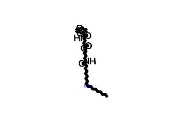 CCCCCCCC/C=C\CCCCCCCC(=O)NCCC=COC(=O)CCNC(=O)C1OC(C)(C)OCC1(C)C